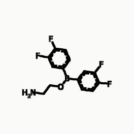 NCCOB(c1ccc(F)c(F)c1)c1ccc(F)c(F)c1